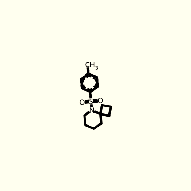 Cc1ccc(S(=O)(=O)N2CCCCC23CCC3)cc1